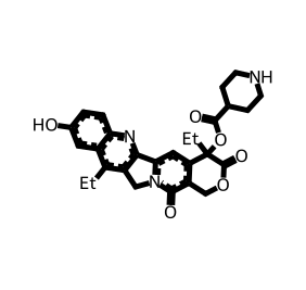 CCc1c2c(nc3ccc(O)cc13)-c1cc3c(c(=O)n1C2)COC(=O)C3(CC)OC(=O)C1CCNCC1